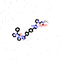 CN(CC(=O)N1CCC[C@H]1c1ncc(-c2ccc(-c3ccc(-c4cnc([C@@H]5CCCN5C(=O)[C@@H](c5ccccc5)N5CCCC5)[nH]4)cc3)cc2)[nH]1)C(=O)O